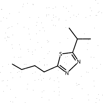 CCCCc1nnc(C(C)C)s1